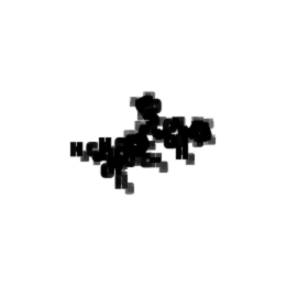 CCOC(=O)C(C)(C)Oc1c(C)cc(CN(CC(=O)O/N=C(\N)c2cccs2)Cc2ncco2)cc1C